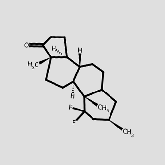 C[C@@H]1CC2CC[C@@H]3[C@H](CC[C@]4(C)C(=O)CC[C@@H]34)[C@@]2(C)C(F)(F)C1